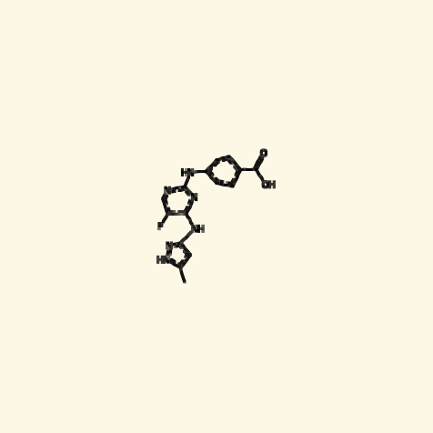 Cc1cc(Nc2nc(Nc3ccc(C(=O)O)cc3)ncc2F)n[nH]1